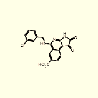 O=C1Nc2nc(NCc3cccc(Cl)c3)c3cc(C(=O)O)ccc3c2C1=O